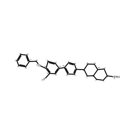 CCCCCCC1CCC2CC(c3ccc(-c4ccc(OCc5ccccc5)c(F)c4)cc3)CCC2C1